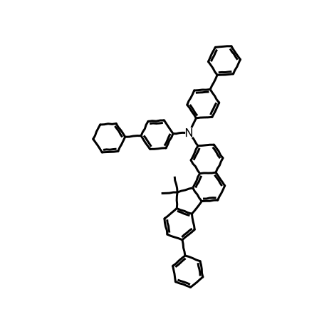 CC1(C)c2ccc(-c3ccccc3)cc2-c2ccc3ccc(N(c4ccc(C5=CCCC=C5)cc4)c4ccc(-c5ccccc5)cc4)cc3c21